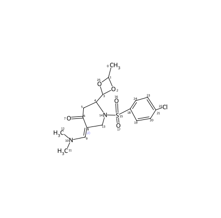 CC1OC(C2CC(=O)/C(=C\N(C)C)CN2S(=O)(=O)c2ccc(Cl)cc2)O1